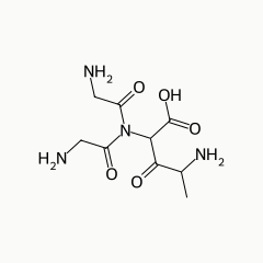 CC(N)C(=O)C(C(=O)O)N(C(=O)CN)C(=O)CN